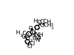 C[C@@H]1Cc2c(nc(Nc3ccnn3C)n(-c3ccc(C(=O)OC(C)(C)C)cc3)c2=O)CN1C(=O)c1ccc(Cl)c(Cl)c1